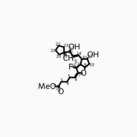 COC(=O)CCCC=C1OC2CC(O)C(C=CC(O)C3(C)CCCC3)C2C1F